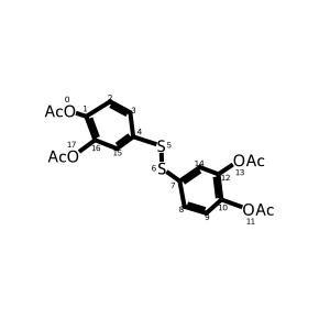 CC(=O)Oc1ccc(SSc2ccc(OC(C)=O)c(OC(C)=O)c2)cc1OC(C)=O